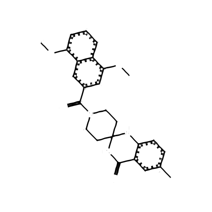 COc1cc(C(=O)N2CCC3(CC2)NC(=O)c2cc(C)ccc2N3)cc2c(OC)cccc12